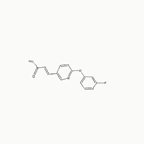 O=C(O)C=Cc1ccc(Oc2cccc(F)c2)nc1